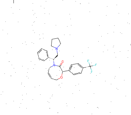 O=C1C(c2ccc(C(F)(F)F)cc2)OCC=CCN1[C@H](CN1CCCC1)c1ccccc1